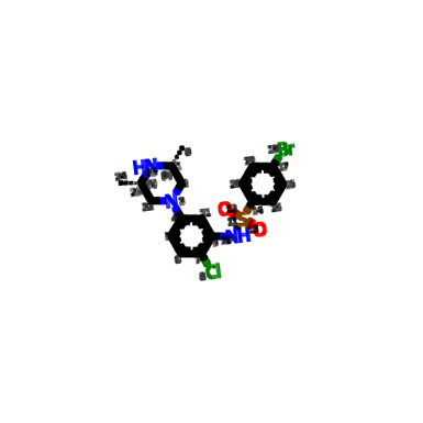 C[C@@H]1CN(c2ccc(Cl)c(NS(=O)(=O)c3ccc(Br)cc3)c2)C[C@H](C)N1